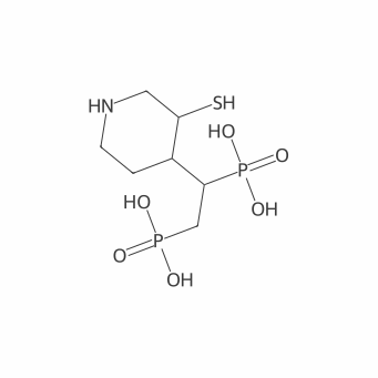 O=P(O)(O)CC(C1CCNCC1S)P(=O)(O)O